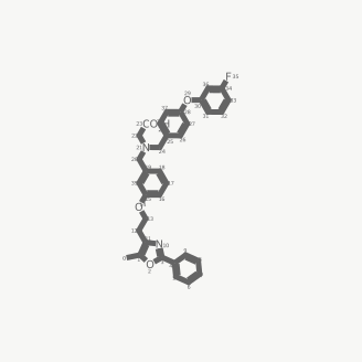 Cc1oc(-c2ccccc2)nc1CCOc1cccc(CN(CC(=O)O)Cc2ccc(Oc3cccc(F)c3)cc2)c1